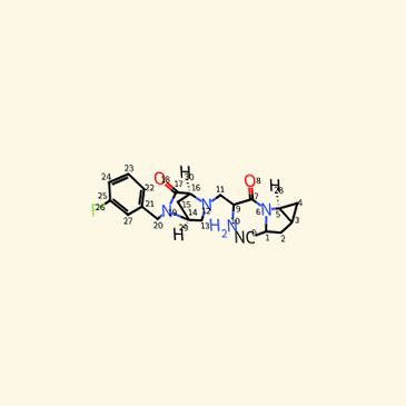 N#CC1CC2C[C@@H]2N1C(=O)C(N)CN1C[C@@H]2C[C@H]1C(=O)N2Cc1cccc(F)c1